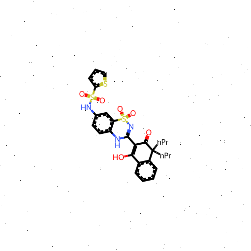 CCCC1(CCC)C(=O)C(C2=NS(=O)(=O)c3cc(NS(=O)(=O)c4cccs4)ccc3N2)=C(O)c2ccccc21